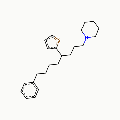 c1ccc(CCCCC(CCCN2CCCCC2)c2cccs2)cc1